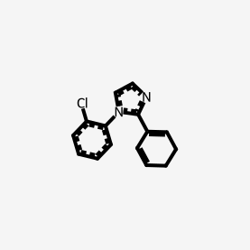 Clc1ccccc1-n1ccnc1C1=CCCC=C1